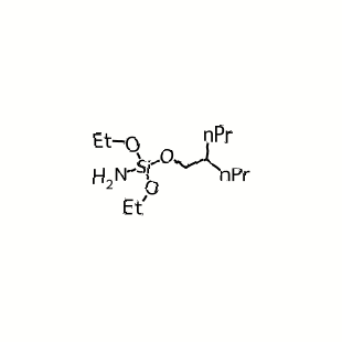 CCCC(CCC)CO[Si](N)(OCC)OCC